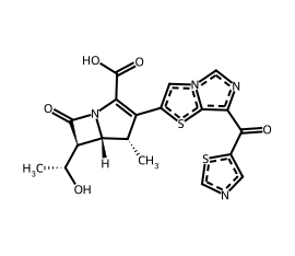 C[C@@H](O)[C@H]1C(=O)N2C(C(=O)O)=C(c3cn4cnc(C(=O)c5cncs5)c4s3)[C@H](C)[C@H]12